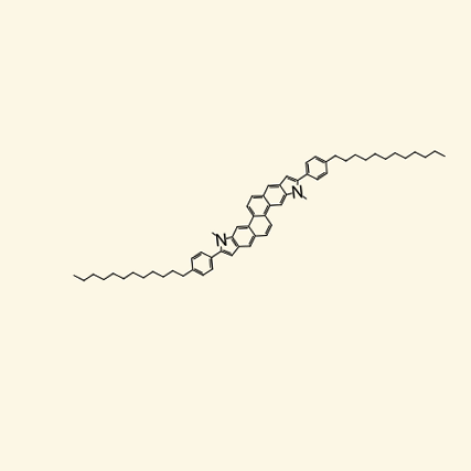 CCCCCCCCCCCCc1ccc(-c2cc3cc4ccc5c6cc7c(cc(-c8ccc(CCCCCCCCCCCC)cc8)n7C)cc6ccc5c4cc3n2C)cc1